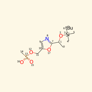 CC(O[Si](C)(C)C(C)(C)C)c1ncc(COS(C)(=O)=O)o1